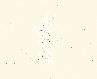 CCc1nc2c(C(=O)NCc3ccc(N)nc3)cccn2c1C(=O)N[C@H](CF)CC(C)C